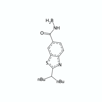 BNC(=O)c1ccc2nc(C(CCCC)CCCC)sc2c1